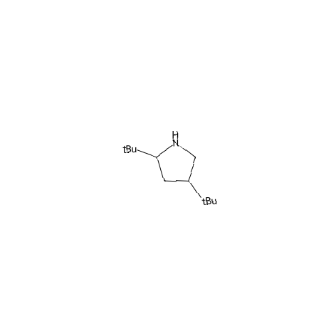 CC(C)(C)C1CNC(C(C)(C)C)C1